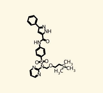 C[Si](C)(C)CCOCN(c1ncccn1)S(=O)(=O)c1ccc(NC(=O)c2cc(-c3ccccc3)n[nH]2)cc1